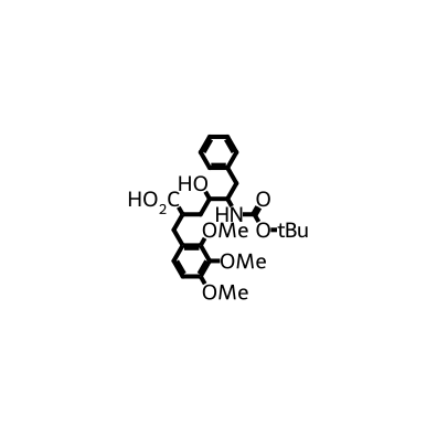 COc1ccc(CC(CC(O)C(Cc2ccccc2)NC(=O)OC(C)(C)C)C(=O)O)c(OC)c1OC